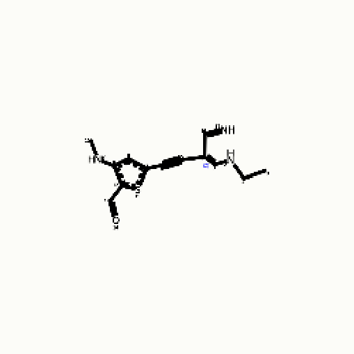 CCN/C=C(/C#Cc1cc(NC)c(C=O)s1)C=N